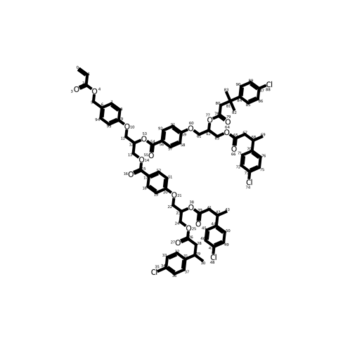 C=CC(=O)OCc1ccc(OCC(COC(=O)c2ccc(OCC(COC(=O)CC(C)c3ccc(Cl)cc3)OC(=O)CC(C)c3ccc(Cl)cc3)cc2)OC(=O)c2ccc(OCC(COC(=O)CC(C)c3ccc(Cl)cc3)OC(=O)CC(C)(C)c3ccc(Cl)cc3)cc2)cc1